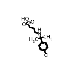 CC(C)(NCCCS(=O)(=O)O)c1ccc(Cl)cc1